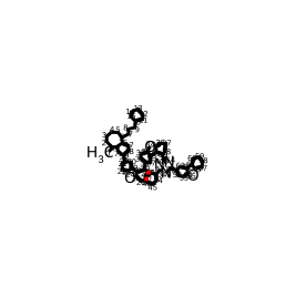 CC1CCCCC(CCCc2ccccc2)C2=CC=C(c3ccc4oc5cccc(-c6ccc7oc8cccc(-c9nc(-c%10ccccc%10)nc(-c%10ccc%11oc%12ccccc%12c%11c%10)n9)c8c7c6)c5c4c3)CC21